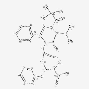 CC(C)C1C(=O)N(CC(=O)N[C@@H](Cc2ccccc2)C(O)C(=O)O)C(c2ccccc2)=CN1C(=O)C(C)(C)C